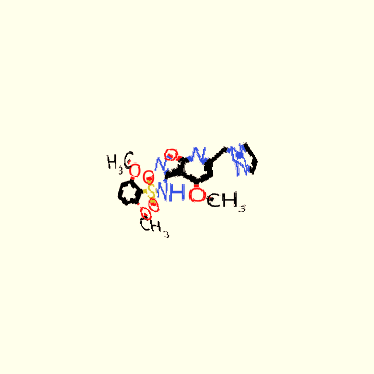 COc1cccc(OC)c1S(=O)(=O)Nc1noc2nc(Cn3cccn3)cc(OC)c12